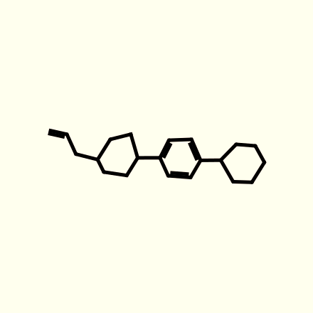 C=CCC1CCC(c2ccc(C3CCCCC3)cc2)CC1